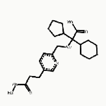 O=C(CCc1ccc(CNC(C(=O)O)(C2CCCCC2)C2CCCC2)nc1)NO